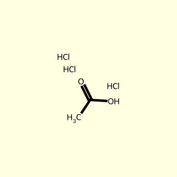 CC(=O)O.Cl.Cl.Cl